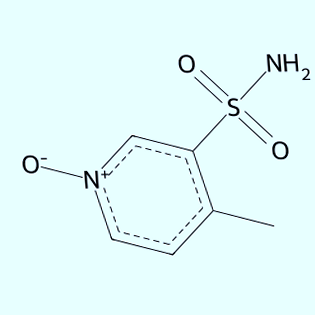 Cc1cc[n+]([O-])cc1S(N)(=O)=O